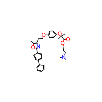 Cc1oc(-c2ccc(-c3ccccc3)cc2)nc1CCOc1ccc(OC(C)(C)C(=O)OCCCN(C)C)cc1